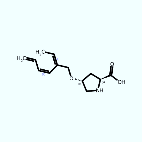 C=C/C=C\C(=C/C)CO[C@H]1CN[C@H](C(=O)O)C1